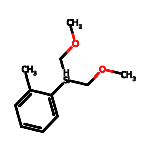 COC[SiH](COC)c1ccccc1C